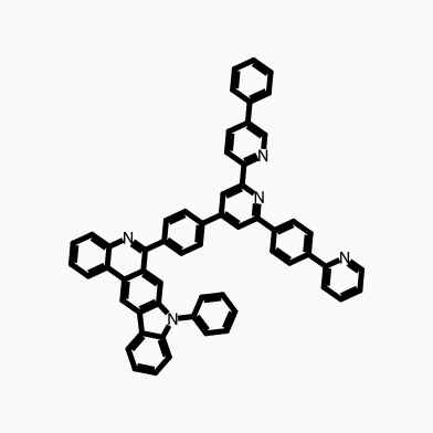 c1ccc(-c2ccc(-c3cc(-c4ccc(-c5nc6ccccc6c6cc7c8ccccc8n(-c8ccccc8)c7cc56)cc4)cc(-c4ccc(-c5ccccn5)cc4)n3)nc2)cc1